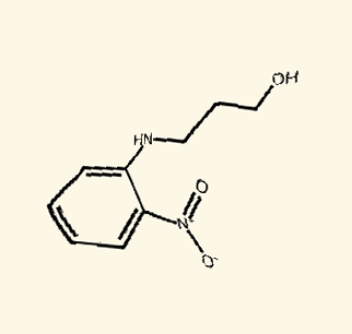 O=[N+]([O-])c1ccccc1NCCCO